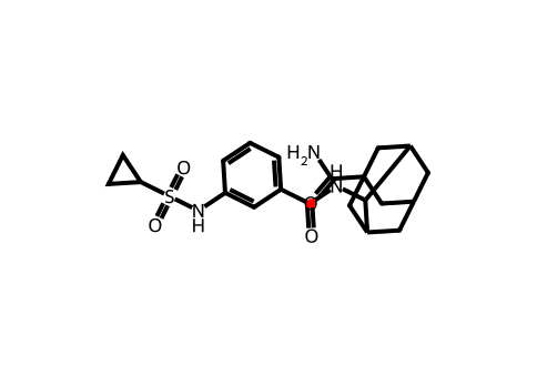 NC(=O)C12CC3CC(C1)C(NC(=O)c1cccc(NS(=O)(=O)C4CC4)c1)C(C3)C2